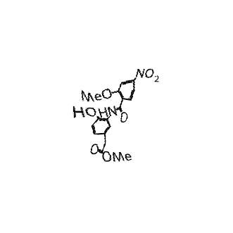 COC(=O)Cc1ccc(O)c(NC(=O)c2ccc([N+](=O)[O-])cc2OC)c1